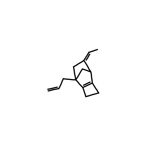 C=CCC12CC(=CC)C(C1)C1=C2CC1